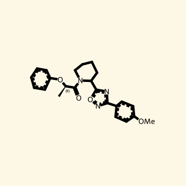 COc1ccc(-c2noc(C3CCCCN3C(=O)[C@@H](C)Oc3ccccc3)n2)cc1